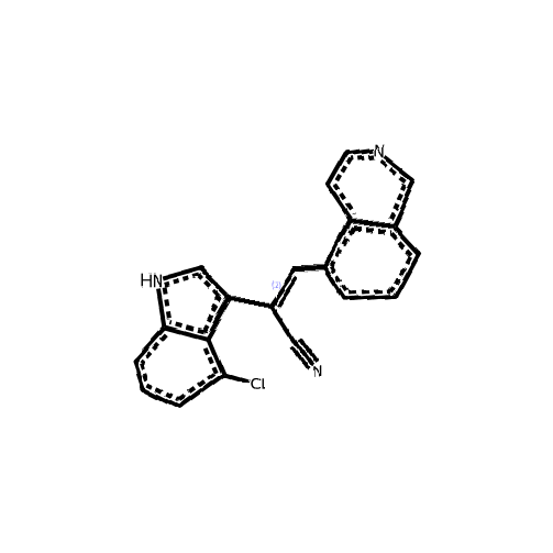 N#C/C(=C\c1cccc2cnccc12)c1c[nH]c2cccc(Cl)c12